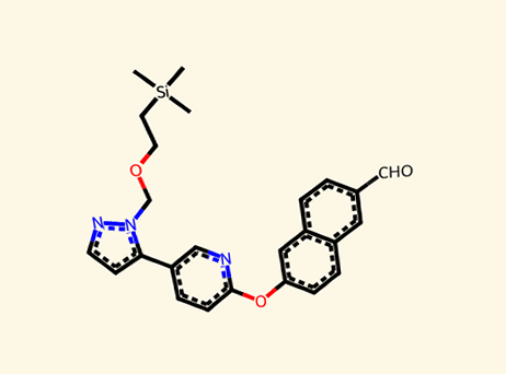 C[Si](C)(C)CCOCn1nccc1-c1ccc(Oc2ccc3cc(C=O)ccc3c2)nc1